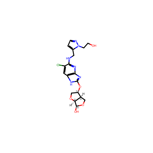 OCCn1nccc1CNc1nc2nc(O[C@@H]3CO[C@H]4[C@@H]3CO[C@H]4O)[nH]c2cc1Cl